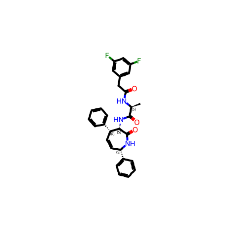 C[C@H](NC(=O)Cc1cc(F)cc(F)c1)C(=O)N[C@@H]1C(=O)N[C@H](c2ccccc2)C=C[C@@H]1c1ccccc1